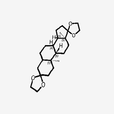 C[C@]12CCC3(CC1CC[C@@H]1[C@@H]2CC[C@@]2(C)[C@H]1CCC21OCCO1)OCCO3